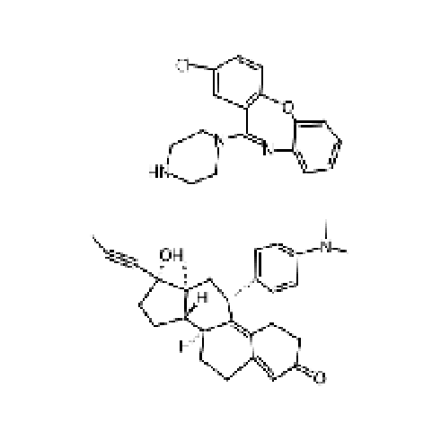 CC#C[C@]1(O)CC[C@H]2[C@@H]3CCC4=CC(=O)CCC4=C3[C@@H](c3ccc(N(C)C)cc3)C[C@@]21C.Clc1ccc2c(c1)C(N1CCNCC1)=Nc1ccccc1O2